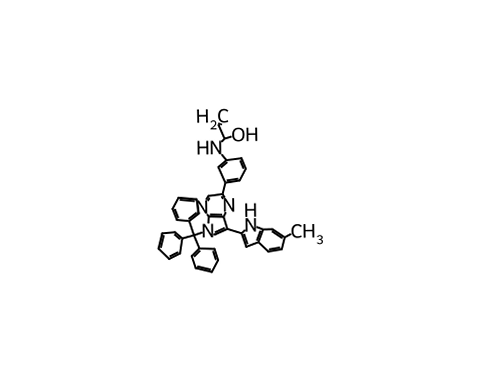 C=CC(O)Nc1cccc(-c2cnc3c(n2)c(-c2cc4ccc(C)cc4[nH]2)cn3C(c2ccccc2)(c2ccccc2)c2ccccc2)c1